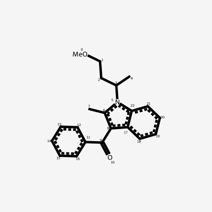 COCCC(C)n1c(C)c(C(=O)c2ccccc2)c2ccccc21